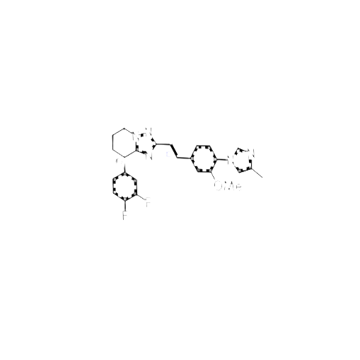 COc1cc(/C=C/c2nc3n(n2)CCC[C@@H]3c2ccc(F)c(F)c2)ccc1-n1cnc(C)c1